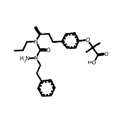 C=C(CCc1ccc(OC(C)(C)C(=O)O)cc1)N(CCC)C(=O)N(N)CCc1ccccc1